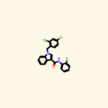 O=C(Nc1ccccc1F)c1cn(Cc2ccc(Cl)cc2Cl)c2ccccc12